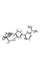 CC(C)C(O)c1ccnc(-c2ccc3c(c2)CCC(=O)N3)c1